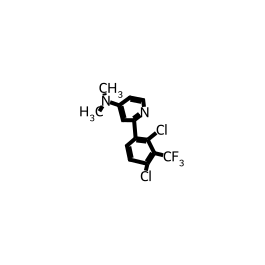 CN(C)c1ccnc(-c2ccc(Cl)c(C(F)(F)F)c2Cl)c1